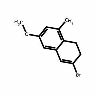 COc1cc(C)c2c(c1)C=C(Br)CC2